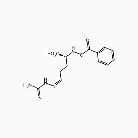 NC(=S)N/N=C\CC[C@H](NOC(=O)c1ccccc1)C(=O)O